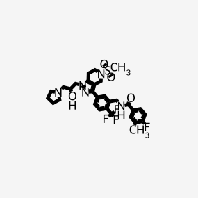 Cc1cc(C(=O)NCc2cc(-c3nn(CC(O)CN4CCCC4)c4c3CN(S(C)(=O)=O)CC4)ccc2C(F)(F)F)ccc1F